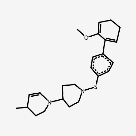 COC1=CCCC=C1c1ccc(SN2CCC(N3C=CC(C)CC3)CC2)cc1